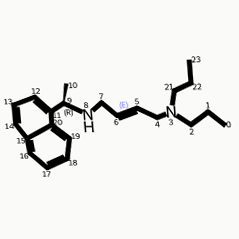 CCCN(C/C=C/CN[C@H](C)c1cccc2ccccc12)CCC